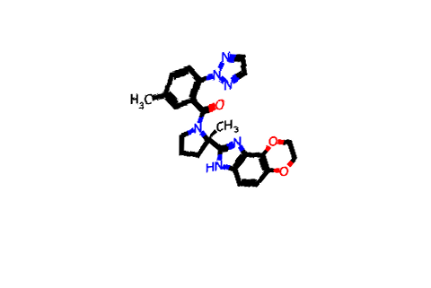 Cc1ccc(-n2nccn2)c(C(=O)N2CCC[C@@]2(C)c2nc3c4c(ccc3[nH]2)OCCO4)c1